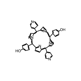 Oc1ccc(-c2c3nc(c(-c4ccncc4)c4ccc([nH]4)c(-c4ccc(O)cc4)c4nc(c(-c5ccncc5)c5ccc2[nH]5)C=C4)C=C3)cc1